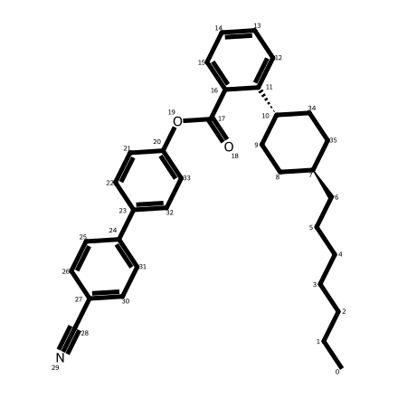 CCCCCCC[C@H]1CC[C@H](c2ccccc2C(=O)Oc2ccc(-c3ccc(C#N)cc3)cc2)CC1